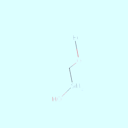 CCOC[SiH2]O